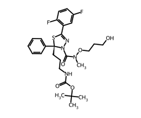 CN(OCCCO)C(=O)N1N=C(c2cc(F)ccc2F)S[C@@]1(CCCNC(=O)OC(C)(C)C)c1ccccc1